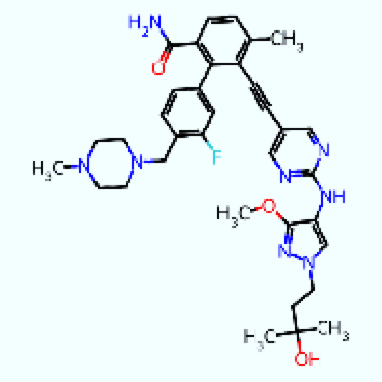 COc1nn(CCC(C)(C)O)cc1Nc1ncc(C#Cc2c(C)ccc(C(N)=O)c2-c2ccc(CN3CCN(C)CC3)c(F)c2)cn1